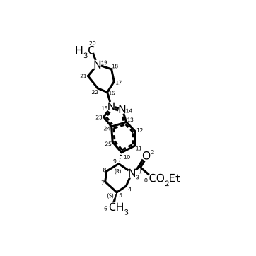 CCOC(=O)C(=O)N1C[C@@H](C)CC[C@@H]1c1ccc2nn(C3CCN(C)CC3)cc2c1